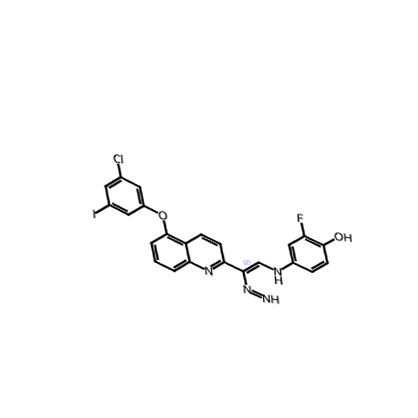 N=N/C(=C\Nc1ccc(O)c(F)c1)c1ccc2c(Oc3cc(Cl)cc(I)c3)cccc2n1